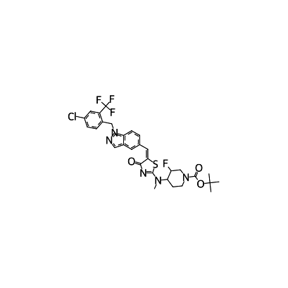 CN(C1=NC(=O)C(=Cc2ccc3c(cnn3Cc3ccc(Cl)cc3C(F)(F)F)c2)S1)C1CCN(C(=O)OC(C)(C)C)CC1F